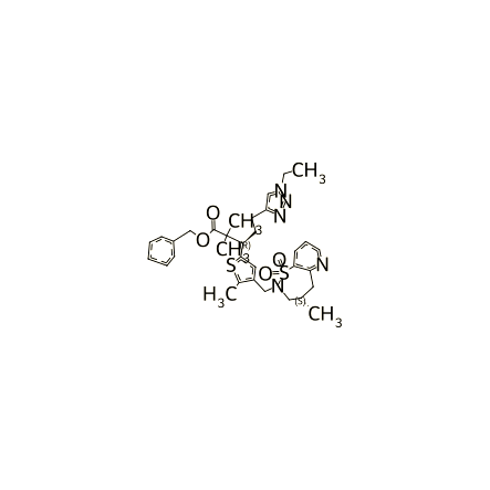 CCn1cc(CC[C@@H](c2cc(CN3C[C@@H](C)Cc4ncccc4S3(=O)=O)c(C)s2)C(C)(C)C(=O)OCc2ccccc2)nn1